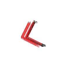 O.O.O.O.O.O.O.O.O.O.O.O.O.O.O.O.O.O.O.O.O.O.O.O.O.O.O.O.O.O.O.O.O.O.O.[Zn].[Zn].[Zn]